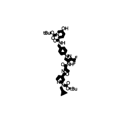 CC(C)(C)OC(=O)N(CC1CC1)c1cc(-c2nc(C(=O)Nc3cn(-c4ccc(CNC(=O)[C@@H]5CC[C@@H](O)CN5C(=O)OC(C)(C)C)cc4)nc3C(F)F)co2)ccn1